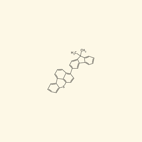 CC1(C)c2ccccc2-c2cc(-c3ccc4c5c(cccc35)-c3ccccc3S4)ccc21